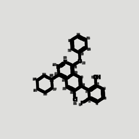 Oc1cccc(F)c1-c1cc2c(Oc3ccccc3)nnc(N3CCCCC3)c2cc1Cl